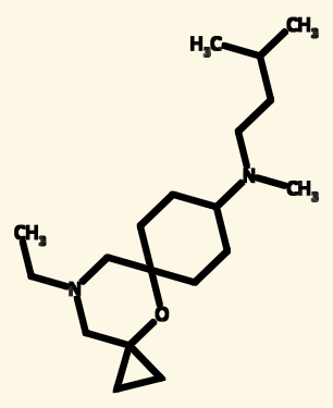 CCN1CC2(CCC(N(C)CCC(C)C)CC2)OC2(CC2)C1